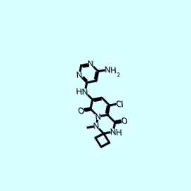 CN1n2c(c(Cl)cc(Nc3cc(N)ncn3)c2=O)C(=O)NC12CCC2